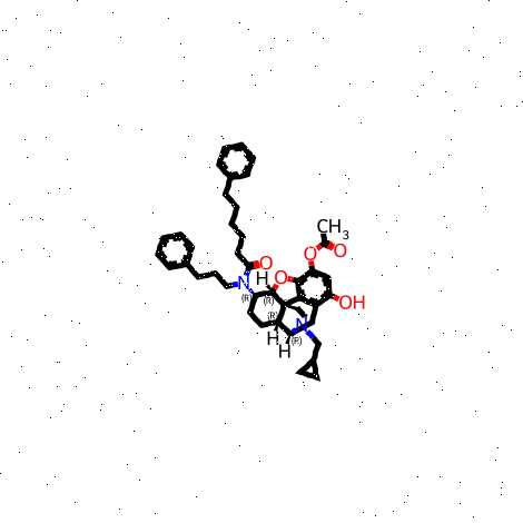 CC(=O)Oc1cc(O)c2c3c1O[C@H]1[C@H](N(CCCc4ccccc4)C(=O)CCCCCc4ccccc4)CC[C@H]4[C@@H](C2)N(CC2CC2)CC[C@@]341